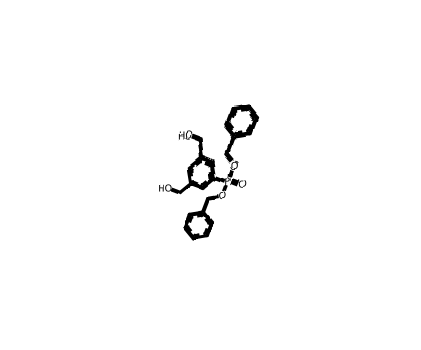 O=P(OCc1ccccc1)(OCc1ccccc1)c1cc(CO)cc(CO)c1